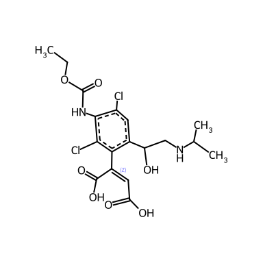 CCOC(=O)Nc1c(Cl)cc(C(O)CNC(C)C)c(/C(=C/C(=O)O)C(=O)O)c1Cl